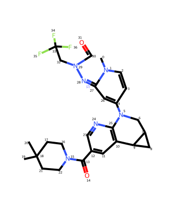 Cn1ccc(N2CC3CC3c3cc(C(=O)N4CCC(C)(C)CC4)cnc32)c/c1=N/N(C=O)CC(F)(F)F